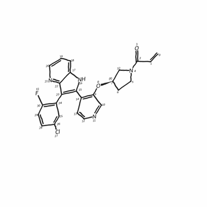 C=CC(=O)N1CC[C@@H](Oc2cnccc2-c2[nH]c3cccnc3c2-c2cc(Cl)ccc2F)C1